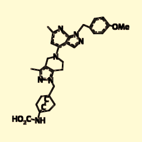 COc1ccc(Cn2ncc3c(N4CCc5c(c(C)nn5CC56CCC(NC(=O)O)(CC5)CC6)C4)cc(C)nc32)cc1